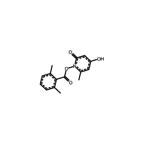 Cc1cccc(C)c1C(=O)On1c(C)cc(O)cc1=O